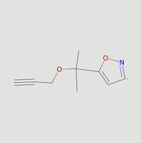 C#CCOC(C)(C)c1c[c]no1